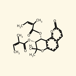 C/C=C(/C)C(=O)O[C@@H]1c2c(ccc3ccc(=O)oc23)OC(C)(C)[C@@H]1OC(=O)/C(C)=C\C